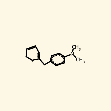 CN(C)c1ccc(CC2=CC=CC[CH]2)cc1